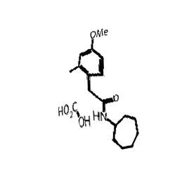 COc1ccc(CC(=O)NC2CCCCCC2)c(C)c1.O=C(O)O